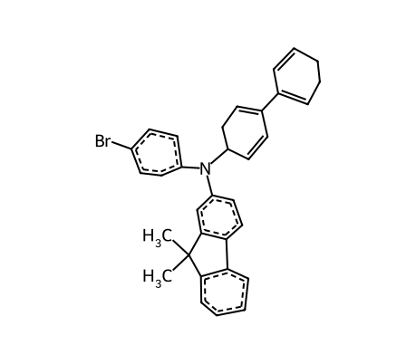 CC1(C)c2ccccc2-c2ccc(N(c3ccc(Br)cc3)C3C=CC(C4=CCCC=C4)=CC3)cc21